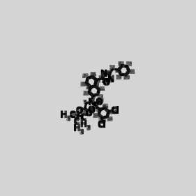 CC(C)(C)OC(=O)CN(c1ccc2c(-c3nc(Cc4ccccc4)no3)cccc2c1)S(=O)(=O)c1cc(Cl)cc(Cl)c1